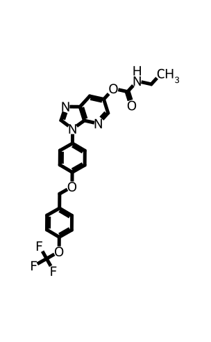 CCNC(=O)Oc1cnc2c(c1)ncn2-c1ccc(OCc2ccc(OC(F)(F)F)cc2)cc1